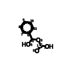 O=S(O)OC(O)c1ccccc1